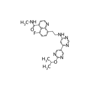 CNC(=O)c1ccnc2c(CCNc3cc(-c4cnc(OC(C)C)nc4)ncn3)ccc(F)c12